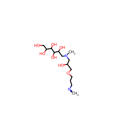 C=NCCCOCC(O)CN(C)CC(O)C(O)C(O)C(O)CO